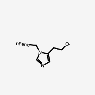 CCCCCCn1cncc1CC[O]